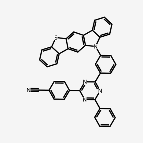 N#Cc1ccc(-c2nc(-c3ccccc3)nc(-c3cccc(-n4c5ccccc5c5cc6sc7ccccc7c6cc54)c3)n2)cc1